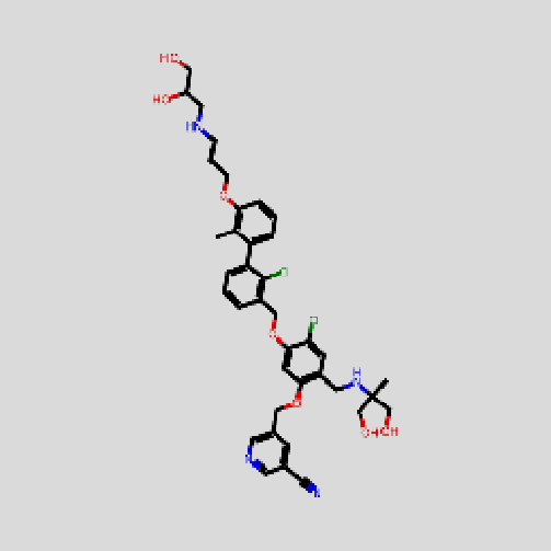 Cc1c(OCCCNCC(O)CO)cccc1-c1cccc(COc2cc(OCc3cncc(C#N)c3)c(CNC(C)(CO)CO)cc2Cl)c1Cl